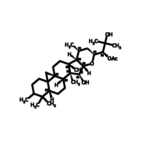 CC(=O)O[C@@H]([C@H]1C[C@@H](C)[C@H]2[C@H](O1)[C@H](O)[C@@]1(C)[C@@H]3CC[C@@H]4C(C)(C)C(C)CCC45C[C@@]35CC[C@]21C)C(C)(C)O